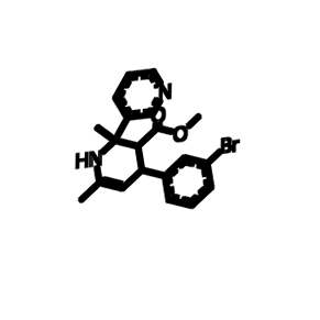 COC(=O)C1C(c2cccc(Br)c2)C=C(C)NC1(C)c1cccnc1